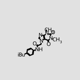 CCC(C)c1ccc(NC(=O)Cn2cnc3c2c(=O)n(C)c(=O)n3C)cc1